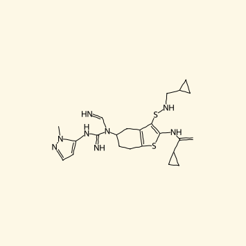 C=C(Nc1sc2c(c1SNCC1CC1)CC(N(C=N)C(=N)Nc1ccnn1C)CC2)C1CC1